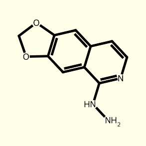 NNc1nccc2cc3c(cc12)OCO3